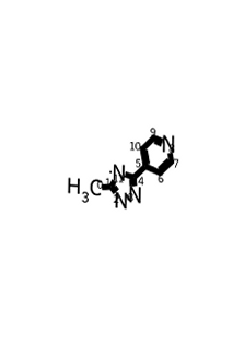 CC1=NN=C(c2ccncc2)[N]1